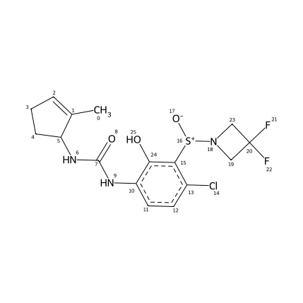 CC1=CCCC1NC(=O)Nc1ccc(Cl)c([S+]([O-])N2CC(F)(F)C2)c1O